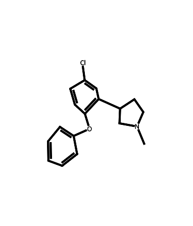 CN1CCC(c2cc(Cl)ccc2Oc2ccccc2)C1